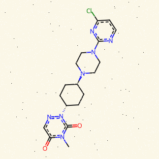 Cn1c(=O)cnn([C@H]2CC[C@H](N3CCN(c4nccc(Cl)n4)CC3)CC2)c1=O